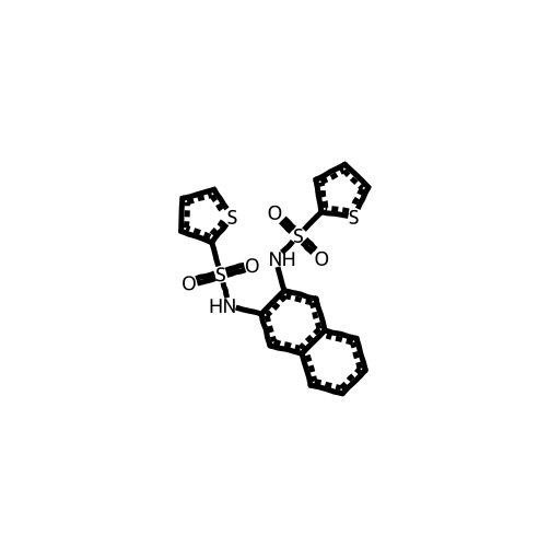 O=S(=O)(Nc1cc2ccccc2cc1NS(=O)(=O)c1cccs1)c1cccs1